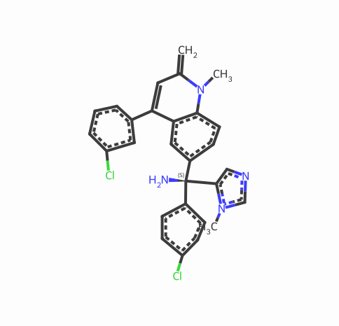 C=C1C=C(c2cccc(Cl)c2)c2cc([C@@](N)(c3ccc(Cl)cc3)c3cncn3C)ccc2N1C